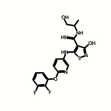 CC(CO)NC(=N)c1c(O)nsc1Nc1ccc(Oc2cccc(F)c2F)nc1